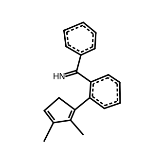 CC1=CCC(c2ccccc2C(=N)c2ccccc2)=C1C